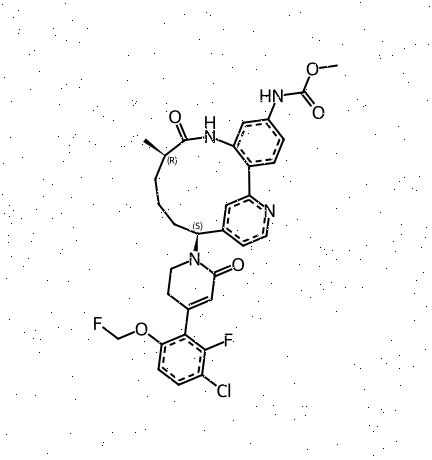 COC(=O)Nc1ccc2c(c1)NC(=O)[C@H](C)CCC[C@H](N1CCC(c3c(OCF)ccc(Cl)c3F)=CC1=O)c1ccnc-2c1